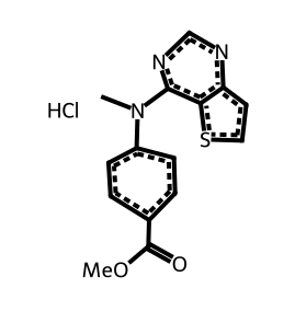 COC(=O)c1ccc(N(C)c2ncnc3ccsc23)cc1.Cl